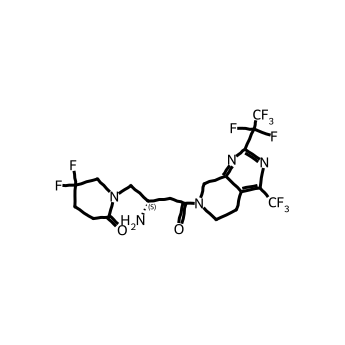 N[C@@H](CC(=O)N1CCc2c(nc(C(F)(F)C(F)(F)F)nc2C(F)(F)F)C1)CN1CC(F)(F)CCC1=O